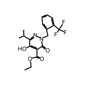 CCOC(=O)c1c(O)c(C(C)C)nn(Cc2ccccc2C(F)(F)F)c1=O